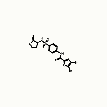 O=C(Nc1ccc(S(=O)(=O)N[C@H]2CCOC2=O)cc1)c1cc(Br)c(Br)o1